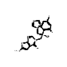 CCCCCCc1cc2c(=O)n(C[C@](O)(Cn3cncn3)c3ccc(F)cc3F)cnc2s1